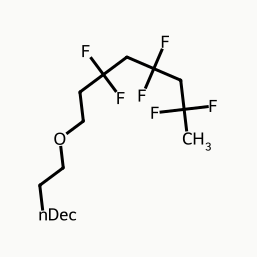 CCCCCCCCCCCCOCCC(F)(F)CC(F)(F)CC(C)(F)F